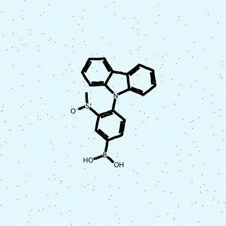 C[S+]([O-])c1cc(B(O)O)ccc1-n1c2ccccc2c2ccccc21